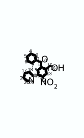 O=C(c1ccccc1)c1ccc([N+](=O)[O-])cc1CO.c1ccncc1